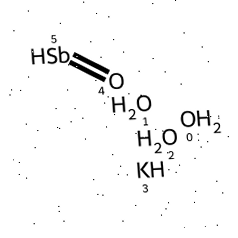 O.O.O.[KH].[O]=[SbH]